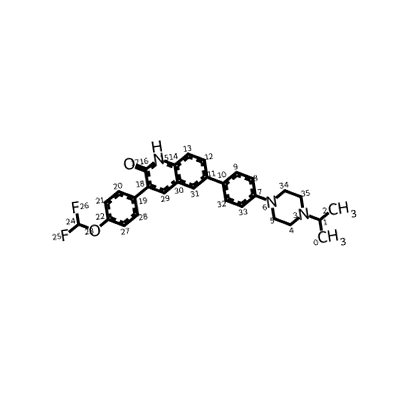 CC(C)N1CCN(c2ccc(-c3ccc4[nH]c(=O)c(-c5ccc(OC(F)F)cc5)cc4c3)cc2)CC1